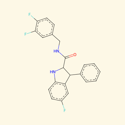 O=C(NCc1ccc(F)c(F)c1)C1Nc2ccc(F)cc2C1c1ccccc1